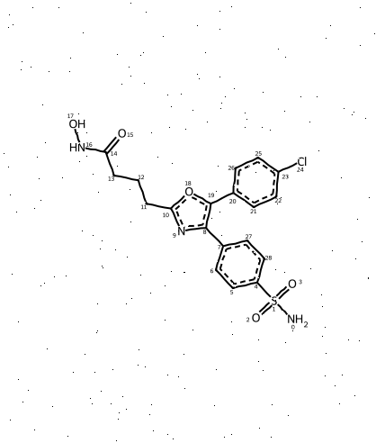 NS(=O)(=O)c1ccc(-c2nc(CCCC(=O)NO)oc2-c2ccc(Cl)cc2)cc1